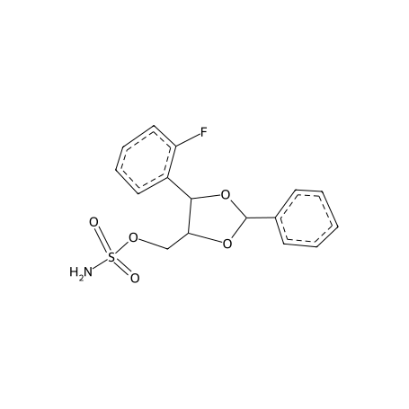 NS(=O)(=O)OCC1OC(c2ccccc2)OC1c1ccccc1F